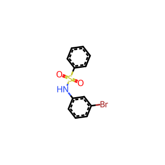 O=S(=O)(Nc1cccc(Br)c1)c1ccccc1